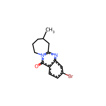 CC1CCCn2c(nc3cc(Br)ccc3c2=O)C1